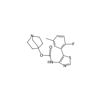 Cc1ccc(F)c(-c2scnc2NC(=O)OC23CCN(CC2)CC3)c1